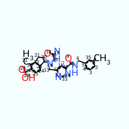 Cc1cccc(CNC(=O)c2cc(CN(CC(N)=O)C3CCc4c3ccc(C(=O)O)c4C)ncn2)c1